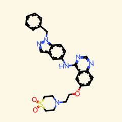 O=S1(=O)CCN(CCOc2ccc3ncnc(Nc4ccc5c(cnn5Cc5ccccc5)c4)c3c2)CC1